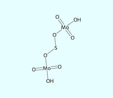 [O]=[Mo](=[O])([OH])[O]S[O][Mo](=[O])(=[O])[OH]